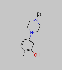 CCN1CCN(c2ccc(C)c(O)c2)CC1